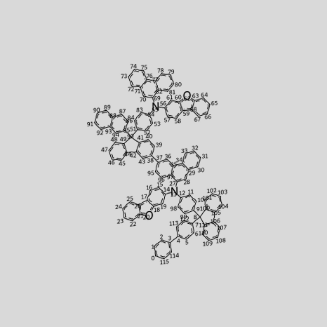 c1ccc(-c2ccc(C3(c4ccc(N(c5ccc6c(c5)oc5ccccc56)c5cc6ccccc6c6cc(-c7ccc8c(c7)-c7ccccc7C8(c7ccc(N(c8ccc9c(c8)oc8ccccc89)c8cc9ccccc9c9ccccc89)cc7)c7ccc8ccccc8c7)ccc56)cc4)c4ccccc4-c4ccccc43)cc2)cc1